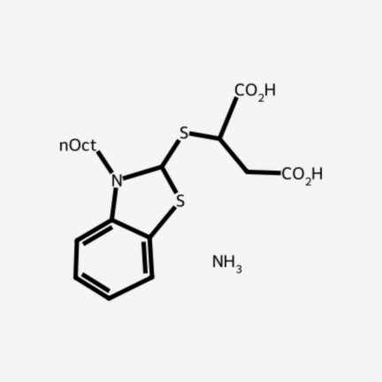 CCCCCCCCN1c2ccccc2SC1SC(CC(=O)O)C(=O)O.N